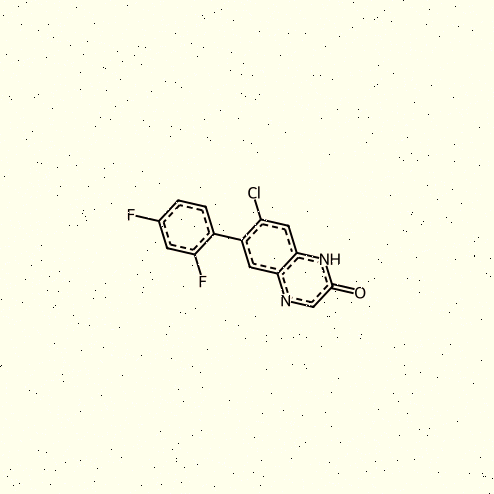 O=c1cnc2cc(-c3ccc(F)cc3F)c(Cl)cc2[nH]1